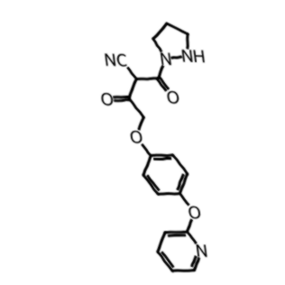 N#CC(C(=O)COc1ccc(Oc2ccccn2)cc1)C(=O)N1CCCN1